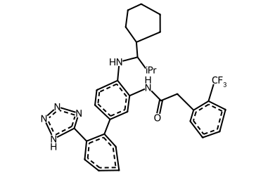 CC(C)C(Nc1ccc(-c2ccccc2-c2nnn[nH]2)cc1NC(=O)Cc1ccccc1C(F)(F)F)C1CCCCC1